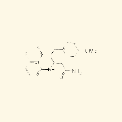 COc1ccc(CC2C(=S)c3c(F)cccc3NC2CC(N)=O)cc1